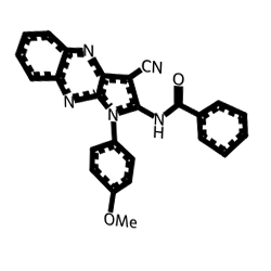 COc1ccc(-n2c(NC(=O)c3ccccc3)c(C#N)c3nc4ccccc4nc32)cc1